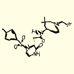 Cc1ccc(S(=O)(=O)N2C=CNC(=O)[C@H]2CC(=O)N[C@@H]2CCN(CC(C)C)CC2(C)C)cc1